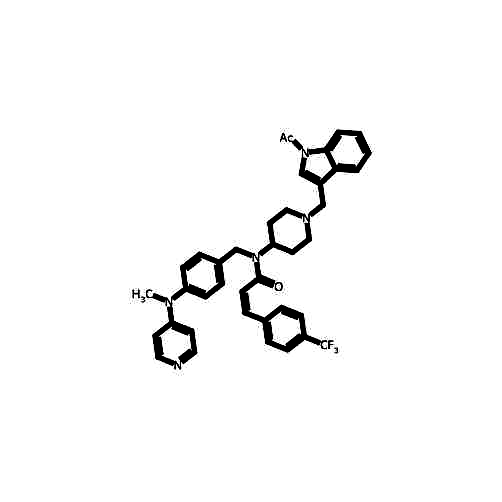 CC(=O)n1cc(CN2CCC(N(Cc3ccc(N(C)c4ccncc4)cc3)C(=O)C=Cc3ccc(C(F)(F)F)cc3)CC2)c2ccccc21